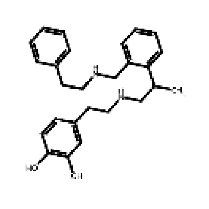 CC(CNCCc1ccc(O)c(O)c1)c1ccccc1CNCCc1ccccc1